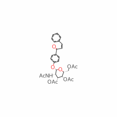 CC(=O)N[C@@H]1[C@H](Oc2ccc(C(=O)/C=C\c3ccccc3)cc2)O[C@H](COC(C)=O)[C@H](OC(C)=O)[C@@H]1OC(C)=O